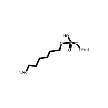 CCCCCCCCCCCCCCCCOP(=O)(O)OCCCCC